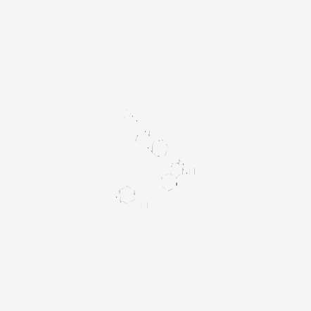 C[C@@H](Oc1ccc2[nH]nc(-c3ccc(N4CCN(S(C)(=O)=O)CC4=O)nc3)c2c1)c1c(Cl)cncc1Cl